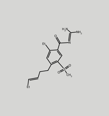 CC/C=C/CCc1cc(CC)c(C(=O)N=C(N)N)cc1S(C)(=O)=O